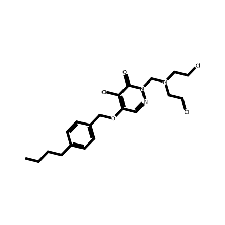 CCCCc1ccc(COc2cnn(CN(CCCl)CCCl)c(=O)c2Cl)cc1